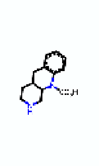 O=C(O)N1c2ccccc2CC2CCNCC21